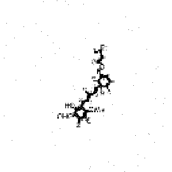 CCN(C)CC(=O)O/N=C1\CC[C@@H](C)[C@](C)(/C=C/C(C)=C/Cc2c(O)c(C=O)c(C)c(Cl)c2OC)[C@H]1C